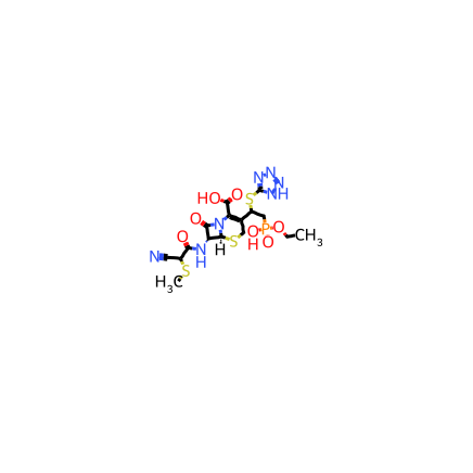 CCOP(=O)(O)CC(Sc1nnn[nH]1)C1=C(C(=O)O)N2C(=O)[C@@H](NC(=O)C(C#N)SC)[C@@H]2SC1